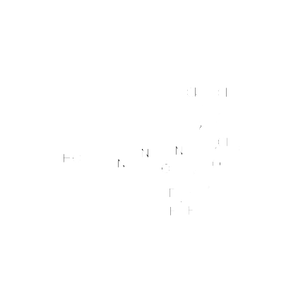 C[C@@H](Oc1ccc(C(F)(F)F)cc1)[C@@H]1CN(C(=O)CN2CCN(CCCO)CC2)C[C@H]1c1ccc(Cl)c(Cl)c1